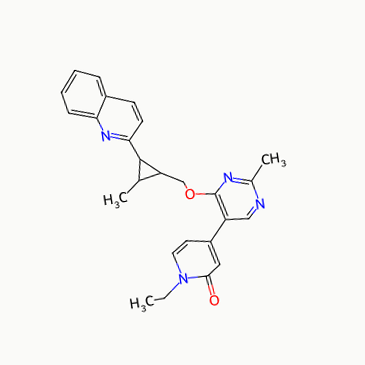 CCn1ccc(-c2cnc(C)nc2OCC2C(C)C2c2ccc3ccccc3n2)cc1=O